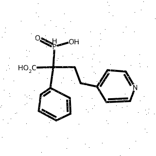 O=C(O)C(CCc1ccncc1)(c1ccccc1)[PH](=O)O